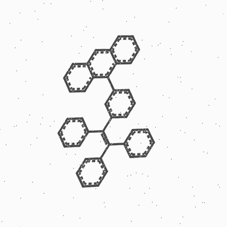 c1ccc(C(=C(c2ccccc2)c2cccc(-c3c4ccccc4cc4ccccc34)c2)c2ccccc2)cc1